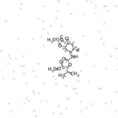 C=C(C)C(OC(=O)Nc1cc(OC(C)C)c(Cl)cc1F)C(=O)OC